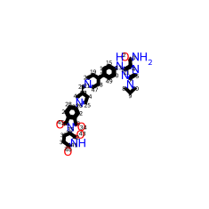 NC(=O)c1ncc(N2CCC2)nc1Nc1ccc(C2CCN(C[C@H]3CCN(c4ccc5c(c4)C(=O)N(C4CCC(=O)NC4=O)C5=O)C3)CC2)cc1